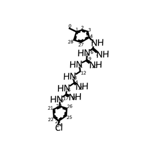 Cc1ccc(NC(=N)NC(=N)NCNC(=N)NC(=N)Nc2ccc(Cl)cc2)cc1